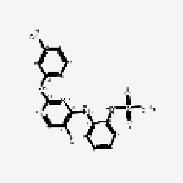 CS(=O)(=O)Nc1ccccc1Nc1nc(Nc2cccc(C#N)c2)ncc1F